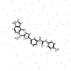 CN(c1nnc(-c2cccc(NC(=O)Cc3ccc(C#N)cc3)c2)s1)c1ccc2[nH]ncc2c1Cl